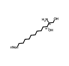 CCCCCCCCCCCCCCCCCC[C@@H](O)[C@@H](N)CO